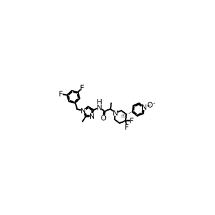 Cc1nc(NC(=O)C(C)N2CCC(F)(F)[C@@H](c3cc[n+]([O-])cc3)C2)cn1Cc1cc(F)cc(F)c1